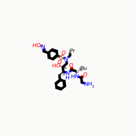 CC[C@H](C)[C@H](NC(=O)CN)C(=O)N[C@@H](Cc1ccccc1)[C@H](O)CN(CC(C)C)S(=O)(=O)c1ccc(C=NO)cc1